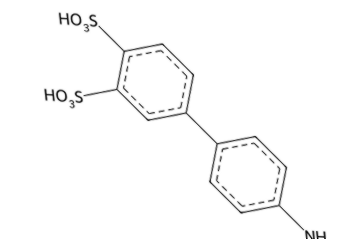 Nc1ccc(-c2ccc(S(=O)(=O)O)c(S(=O)(=O)O)c2)cc1